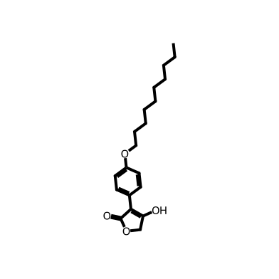 CCCCCCCCCCOc1ccc(C2=C(O)COC2=O)cc1